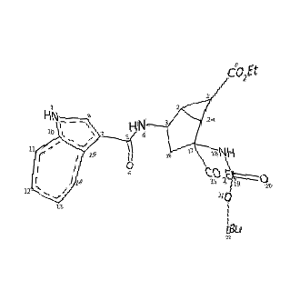 CCOC(=O)C1C2C(NC(=O)c3c[nH]c4ccccc34)CC(NC(=O)OC(C)(C)C)(C(=O)OCC)C12